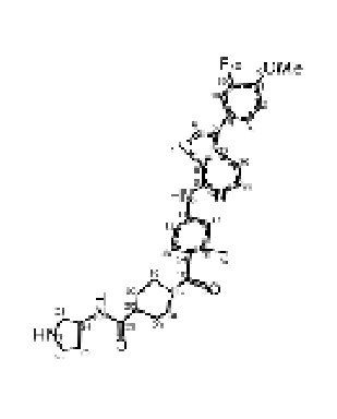 COc1ccc(-c2cnc3c(Nc4ccc(C(=O)N5CCC(C(=O)NC6CCNC6)CC5)c(C)c4)nccn23)cc1F